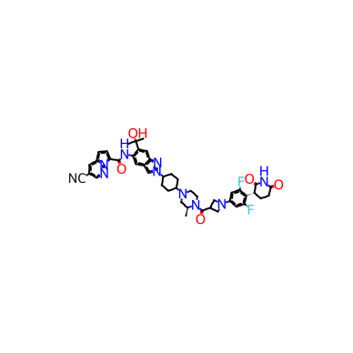 C[C@H]1CN(C2CCC(n3cc4cc(NC(=O)c5ccc6cc(C#N)cnn56)c(C(C)(C)O)cc4n3)CC2)CCN1C(=O)C1CN(c2cc(F)c([C@H]3CCC(=O)NC3=O)c(F)c2)C1